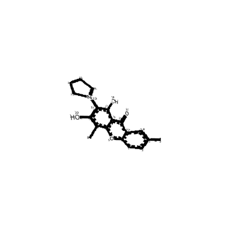 Cc1ccc2oc3c(C)c(O)c(N4CCCC4)c(O)c3c(=O)c2c1